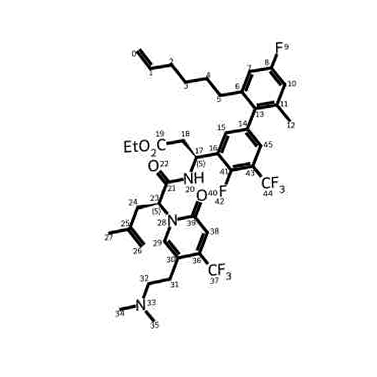 C=CCCCCc1cc(F)cc(C)c1-c1cc([C@H](CC(=O)OCC)NC(=O)[C@H](CC(=C)C)n2cc(CCN(C)C)c(C(F)(F)F)cc2=O)c(F)c(C(F)(F)F)c1